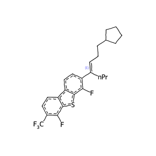 CCC/C(=C\CCC1CCCC1)c1ccc2c(sc3c(F)c(C(F)(F)F)ccc32)c1F